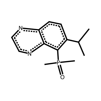 CC(C)c1ccc2nccnc2c1P(C)(C)=O